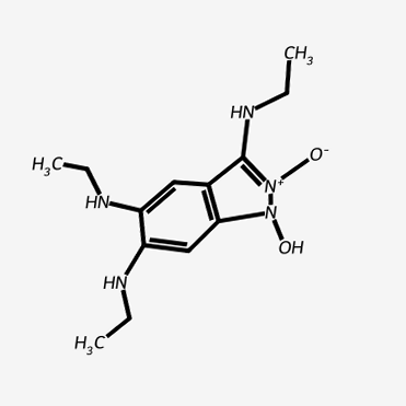 CCNc1cc2c(NCC)[n+]([O-])n(O)c2cc1NCC